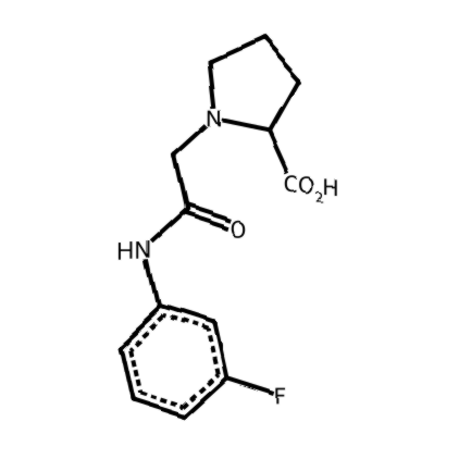 O=C(CN1CCCC1C(=O)O)Nc1cccc(F)c1